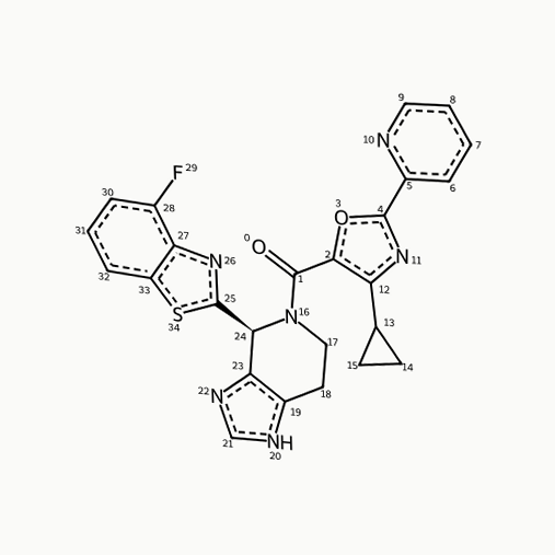 O=C(c1oc(-c2ccccn2)nc1C1CC1)N1CCc2[nH]cnc2[C@H]1c1nc2c(F)cccc2s1